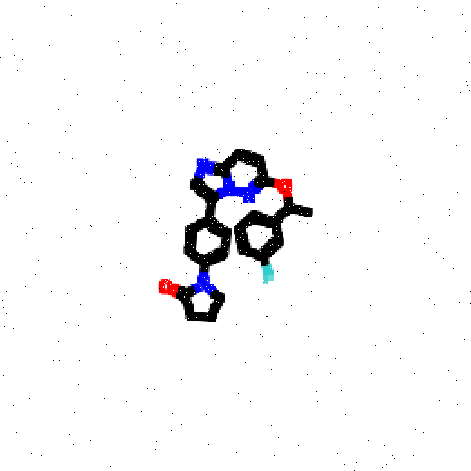 CC(Oc1ccc2ncc(-c3ccc(N4CCCC4=O)cc3)n2n1)c1cccc(F)c1